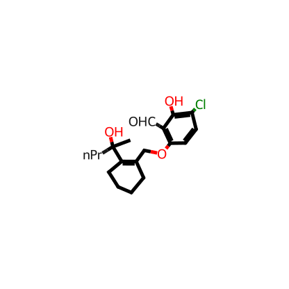 CCCC(C)(O)C1=C(COc2ccc(Cl)c(O)c2C=O)CCCC1